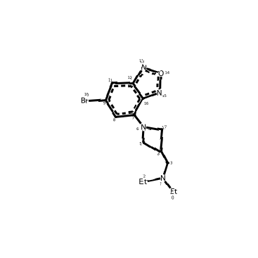 CCN(CC)CC1CN(c2cc(Br)cc3nonc23)C1